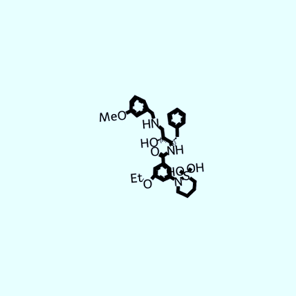 CCOc1cc(C(=O)N[C@@H](Cc2ccccc2)[C@H](O)CNCc2cccc(OC)c2)cc(N2CCCCS2(O)O)c1